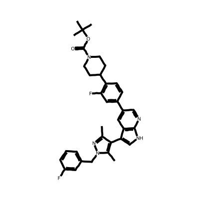 Cc1nn(Cc2cccc(F)c2)c(C)c1-c1c[nH]c2ncc(-c3ccc(C4CCN(C(=O)OC(C)(C)C)CC4)c(F)c3)cc12